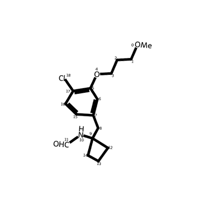 COCCCOc1cc(CC2(NC=O)CCC2)ccc1Cl